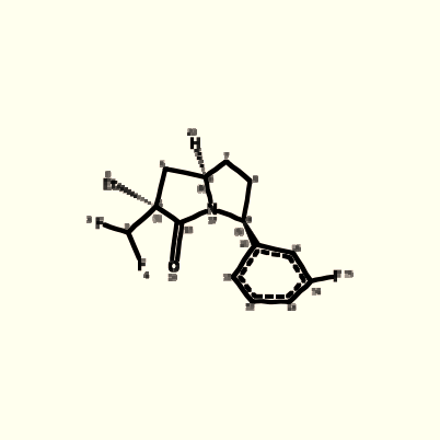 CC[C@]1(C(F)F)C[C@H]2CC[C@@H](c3cccc(F)c3)N2C1=O